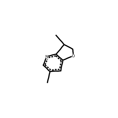 Cc1cnc2c(c1)OCC2C